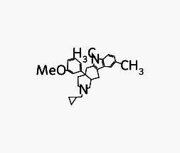 COc1cccc(C23CCN(CC4CC4)CC2Cc2c(n(C)c4ccc(C)cc24)C3)c1